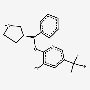 FC(F)(F)c1cnc(OC(c2ccccc2)[C@H]2CCNC2)c(Cl)c1